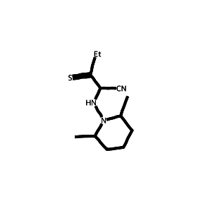 CCC(=S)C(C#N)NN1C(C)CCCC1C